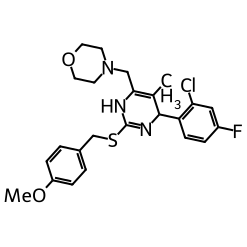 COc1ccc(CSC2=NC(c3ccc(F)cc3Cl)C(C)=C(CN3CCOCC3)N2)cc1